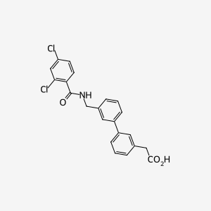 O=C(O)Cc1cccc(-c2cccc(CNC(=O)c3ccc(Cl)cc3Cl)c2)c1